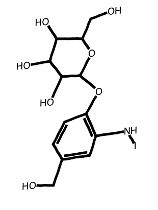 OCc1ccc(OC2OC(CO)C(O)C(O)C2O)c(NI)c1